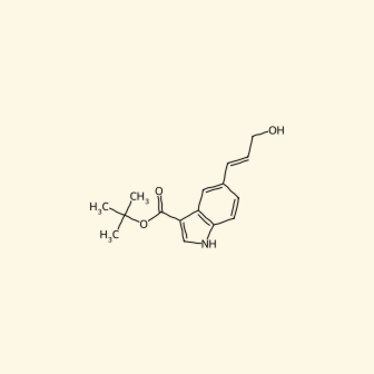 CC(C)(C)OC(=O)c1c[nH]c2ccc(C=CCO)cc12